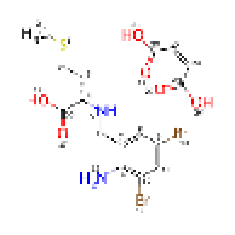 CSCC[C@H](NCc1cc(Br)cc(Br)c1N)C(=O)O.O=C(O)/C=C\C(=O)O